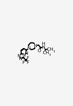 CC(C)NC(=O)CN1CCCN(c2ccc3nnc(C(F)(F)F)n3n2)CC1